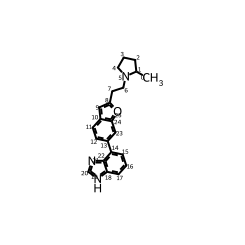 CC1CCCN1CCc1cc2ccc(-c3cccc4[nH]cnc34)cc2o1